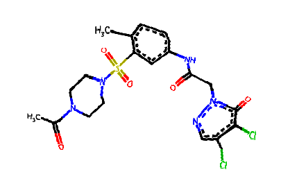 CC(=O)N1CCN(S(=O)(=O)c2cc(NC(=O)Cn3ncc(Cl)c(Cl)c3=O)ccc2C)CC1